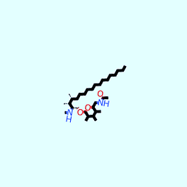 CCCCCCCCCCCCCC[C@@H](C)[C@@H](C)[C@H](COC1OC(CNC(C)=O)C(C)C(C)C1C)NC